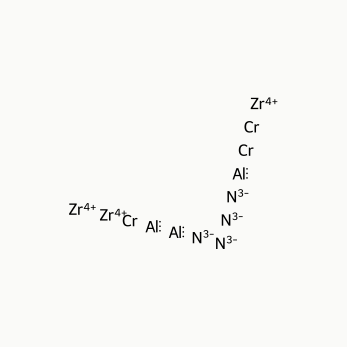 [Al].[Al].[Al].[Cr].[Cr].[Cr].[N-3].[N-3].[N-3].[N-3].[Zr+4].[Zr+4].[Zr+4]